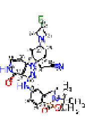 CC(C)(C)N1Cc2cc(Nc3nn([C@]4(CC#N)CC[C@H](N5CC(F)C5)CC4)c4cc[nH]c(=O)c34)ccc2S1(=O)=O